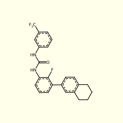 O=C(Nc1cccc(C(F)(F)F)c1)Nc1cccc(-c2ccc3c(c2)CC[CH]C3)c1F